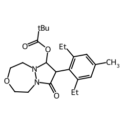 CCc1cc(C)cc(CC)c1C1C(=O)N2CCOCCN2C1OC(=O)C(C)(C)C